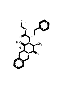 C=C1[C@@H]2Cc3ccccc3CN2C(=O)[C@H](C)N1[C@@H](CCc1ccccc1)C(=O)OCC